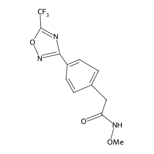 CONC(=O)Cc1ccc(-c2noc(C(F)(F)F)n2)cc1